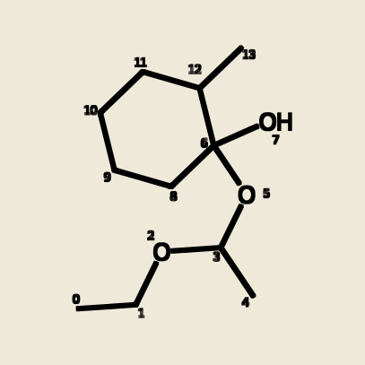 CCOC(C)OC1(O)CCCCC1C